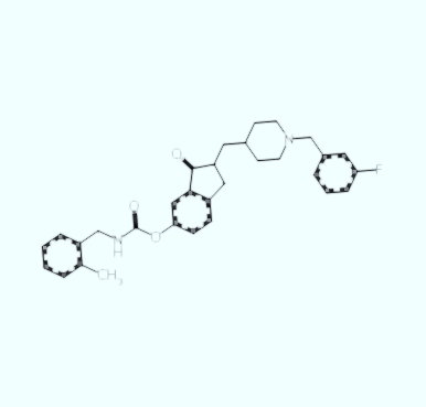 Cc1ccccc1CNC(=O)Oc1ccc2c(c1)C(=O)C(CC1CCN(Cc3cccc(F)c3)CC1)C2